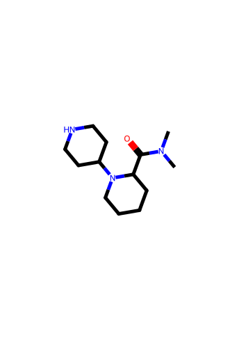 CN(C)C(=O)C1CCCCN1C1CCNCC1